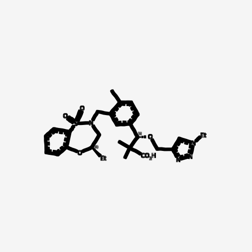 CC[C@@H]1CN(Cc2cc([C@H](OCc3cn(CC)nn3)C(C)(C)C(=O)O)ccc2C)S(=O)(=O)c2ccccc2O1